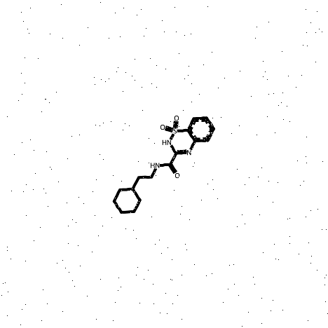 O=C(NCCC1CCCCC1)C1=Nc2ccccc2S(=O)(=O)N1